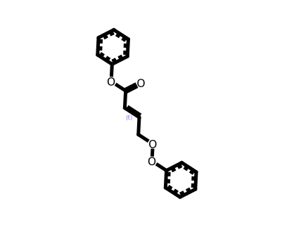 O=C(/C=C/COOc1ccccc1)Oc1ccccc1